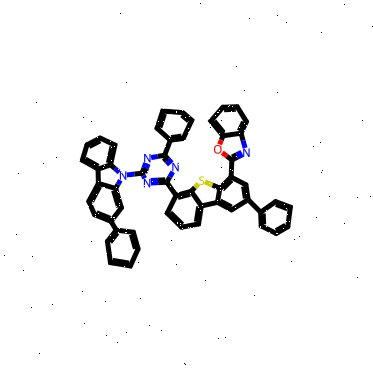 c1ccc(-c2cc(-c3nc4ccccc4o3)c3sc4c(-c5nc(-c6ccccc6)nc(-n6c7ccccc7c7ccc(-c8ccccc8)cc76)n5)cccc4c3c2)cc1